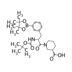 CC(C)(C)OC(=O)NC(Cc1cccc(B2OC(C)(C)C(C)(C)O2)c1)C(=O)N1CCC[C@@H](C(=O)O)C1